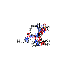 Cn1ccc(C(=O)N[C@H]2CCCCCC=C[C@@H]3C[C@@]3(C(=O)NS(=O)(=O)C3CC3)NC(=O)[C@@H]3C[C@@H](Oc4nc5ccccc5nc4-c4cc5ccccc5o4)CN3C2=O)n1